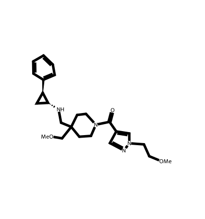 COCCn1cc(C(=O)N2CCC(CN[C@@H]3C[C@H]3c3ccccc3)(COC)CC2)cn1